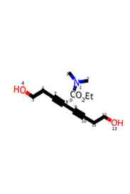 CCOC(=O)N(C)C.OCCC#CC#CCCO